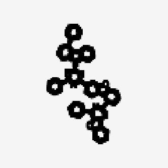 c1ccc(-c2nc(-c3ccc4c(c3)oc3cccc(-c5nc(-c6ccccc6)c6oc7ccccc7c6n5)c34)nc(-n3c4ccccc4c4c(-c5ccccc5)cccc43)n2)cc1